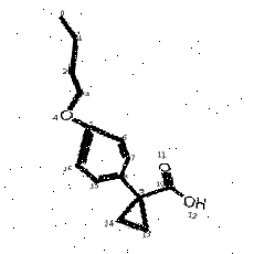 CCCCOc1ccc(C2(C(=O)O)CC2)cc1